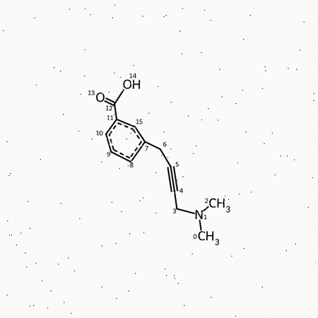 CN(C)CC#CCc1cccc(C(=O)O)c1